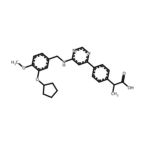 COc1ccc(CNc2cc(-c3ccc(C(C)C(=O)O)cc3)ncn2)cc1OC1CCCC1